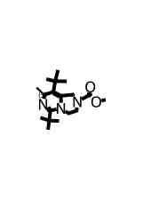 COC(=O)N1CCN2C(C(C)(C)C)=N[C@@H](C)C(C(C)(C)C)=C2C1